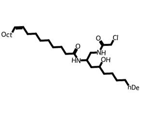 CCCCCCCC/C=C\CCCCCCCC(=O)NC(CNC(=O)CCl)CC(O)CCCCCCCCCCCCCC